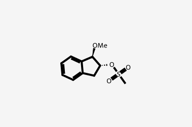 CO[C@@H]1c2ccccc2C[C@H]1OS(C)(=O)=O